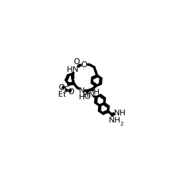 CCS(=O)(=O)c1ccc2cc1CNC(=O)[C@H](Nc1ccc3cc(C(=N)N)ccc3c1)c1ccc(cc1)CCOC(=O)N2